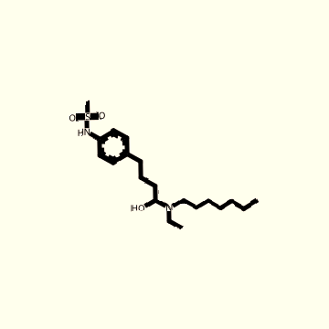 CCCCCCCN(CC)C(O)CCCc1ccc(NS(C)(=O)=O)cc1